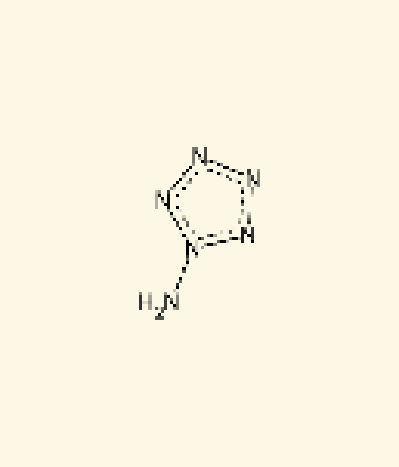 Nn1nnnn1